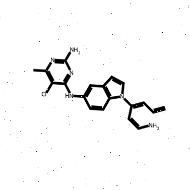 C=C/C=C(\C=C/N)n1ccc2cc(Nc3nc(N)nc(C)c3Cl)ccc21